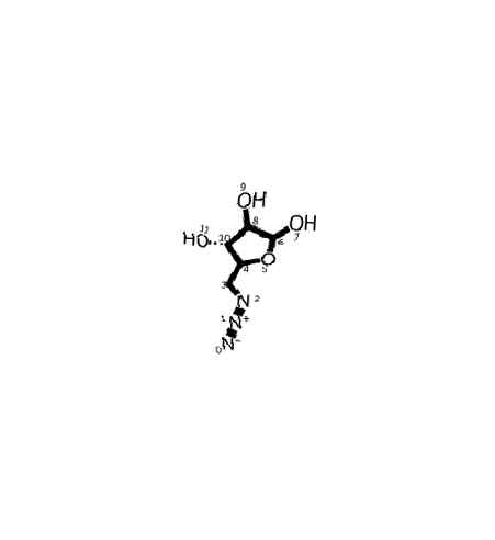 [N-]=[N+]=NCC1OC(O)C(O)[C@H]1O